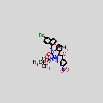 COc1ccc2cc(Br)ccc2c1CN1C(=O)[C@H](NC(=O)OC(C)(C)C)NC(C(=O)c2ccc([N+](=O)[O-])cc2)c2ccccc21